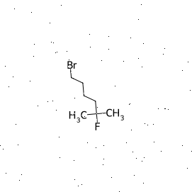 CC(C)(F)CCCCBr